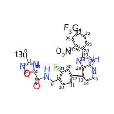 CC(C)(C)c1noc(C(=O)NCc2ccc(-c3ccnc4[nH]c(-c5ccc(C(F)(F)F)cc5[N+](=O)[O-])nc34)cc2F)n1